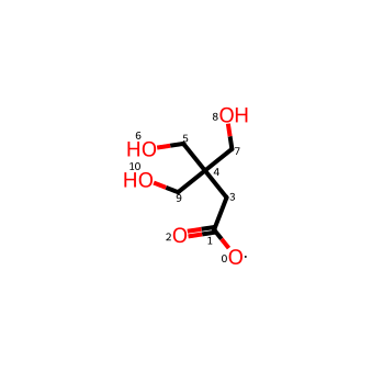 [O]C(=O)CC(CO)(CO)CO